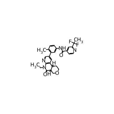 CCN1C(=O)[C@H]2COCC[C@H]2c2cc(-c3cc(NC(=O)c4ccnc(C(C)(F)F)c4)ccc3C)cnc21